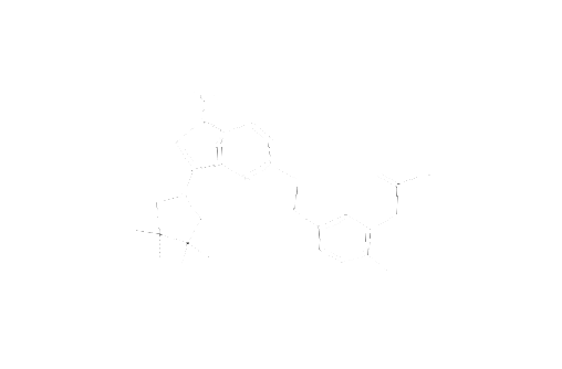 Cn1cc(N2CC(F)(F)C(F)(F)C2)c2nc(SCc3ccc(Cl)c(CC(=O)O)c3)ncc21